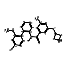 CN(C(=O)c1cc(SC2CNC2)cc(C(F)(F)F)c1)c1cnccc1-c1ccc(F)cc1OC(F)(F)F